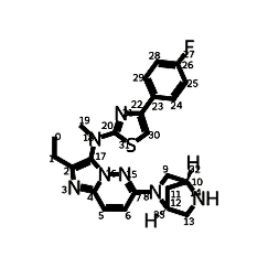 CCc1nc2ccc(N3C[C@H]4C[C@H]3CN4)nn2c1N(C)c1nc(-c2ccc(F)cc2)cs1